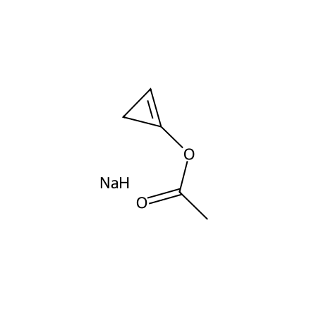 CC(=O)OC1=CC1.[NaH]